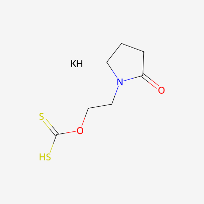 O=C1CCCN1CCOC(=S)S.[KH]